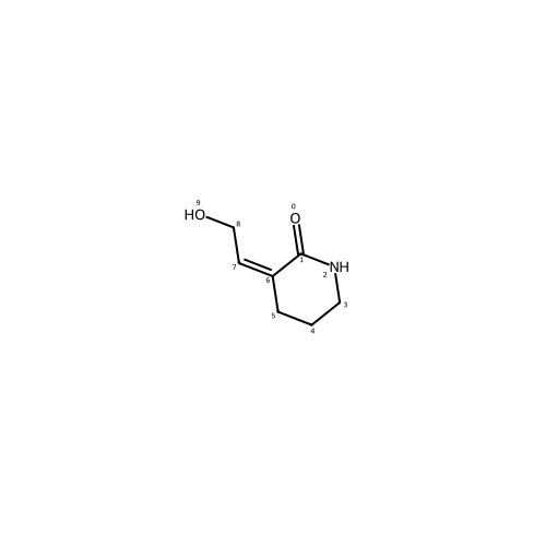 O=C1NCCCC1=CCO